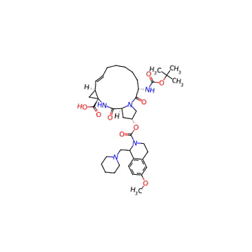 COc1ccc2c(c1)CCN(C(=O)O[C@@H]1C[C@H]3C(=O)N[C@]4(C(=O)O)C[C@H]4/C=C/CCCCC[C@H](NC(=O)OC(C)(C)C)C(=O)N3C1)C2CN1CCCCC1